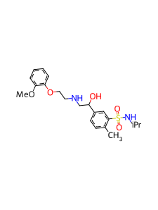 COc1ccccc1OCCNCC(O)c1ccc(C)c(S(=O)(=O)NC(C)C)c1